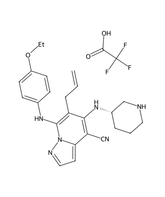 C=CCc1c(N[C@H]2CCCNC2)c(C#N)c2ccnn2c1Nc1ccc(OCC)cc1.O=C(O)C(F)(F)F